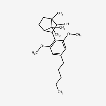 CCCCCc1cc(OC)c(C2C3CCC(C)(C2O)C3(C)C)c(OC)c1